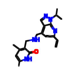 C=Cc1cc(CNCc2c(C)cc(C)[nH]c2=O)c2cnn(C(C)C)c2n1